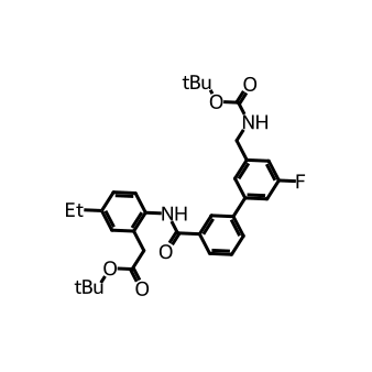 CCc1ccc(NC(=O)c2cccc(-c3cc(F)cc(CNC(=O)OC(C)(C)C)c3)c2)c(CC(=O)OC(C)(C)C)c1